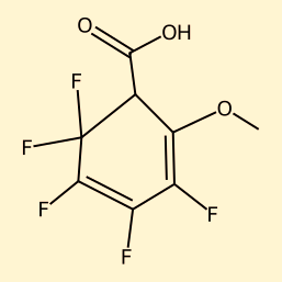 COC1=C(F)C(F)=C(F)C(F)(F)C1C(=O)O